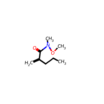 C=C(CCC)C(=O)N(C)OC